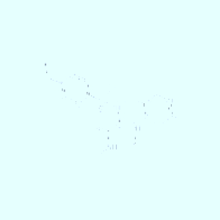 COc1ccc(S(=O)(=O)N(Cc2cccnc2)[C@H](PC)C(=O)NO)cc1